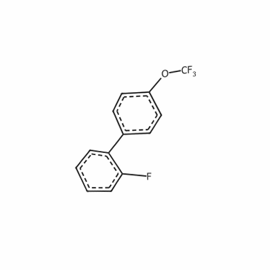 Fc1ccccc1-c1ccc(OC(F)(F)F)cc1